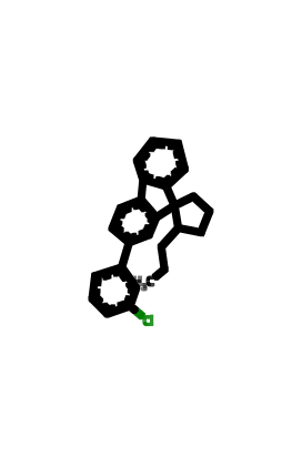 CCCC1CCCC12c1ccccc1-c1ccc(-c3cccc(Cl)c3)cc12